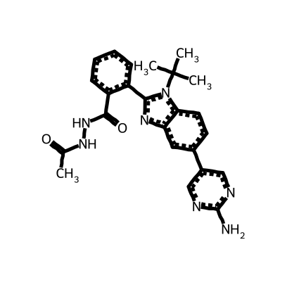 CC(=O)NNC(=O)c1ccccc1-c1nc2cc(-c3cnc(N)nc3)ccc2n1C(C)(C)C